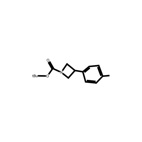 Cc1ccc(C2CN(C(=O)OC(C)(C)C)C2)cc1